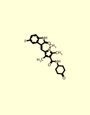 Cc1c(C(=O)NC2CCC(=O)CC2)c(C)n(C)c1/C=C1\C(=O)Nc2ccc(F)cc21